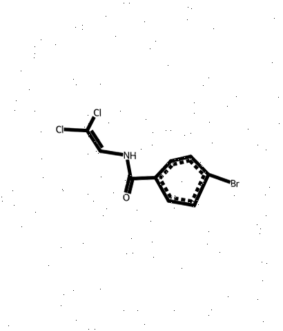 O=C(NC=C(Cl)Cl)c1ccc(Br)cc1